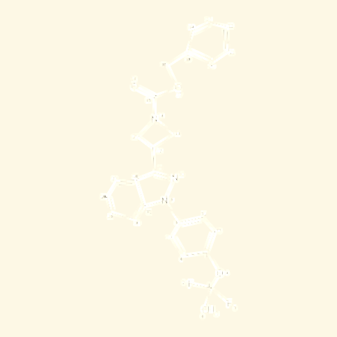 CC(F)(F)Oc1ccc(-n2nc(C3CN(C(=O)OCc4ccccc4)C3)c3ccccc32)cc1